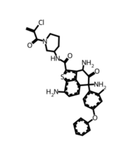 C=C(Cl)C(=O)N1CCCC(NC(=O)c2sc3c(N)ccc4c3c2C(N)C(=O)C4(N)c2ccc(Oc3ccccc3)cc2C)C1